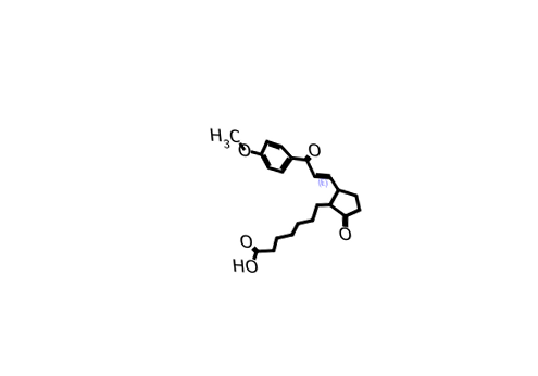 COc1ccc(C(=O)/C=C/C2CCC(=O)C2CCCCCCC(=O)O)cc1